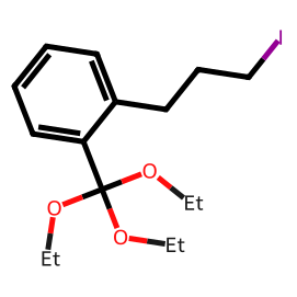 CCOC(OCC)(OCC)c1ccccc1CCCI